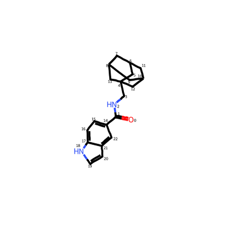 O=C(NCC12CC3CC(CC(C3)C1)C2)c1ccc2[nH]ccc2c1